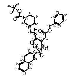 CC(C)(C)OC(=O)N1CCC[C@@H](CNC(=O)[C@@H](CC(=O)OCc2ccccc2)NS(=O)(=O)c2ccc3ccccc3c2)C1